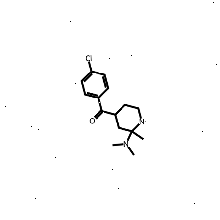 CN(C)C1(C)CC(C(=O)c2ccc(Cl)cc2)CC[N]1